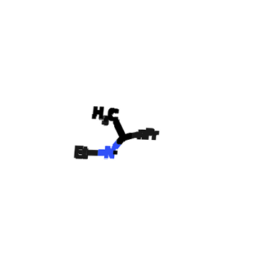 CCCC(C)[N]CC